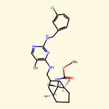 CC(C)(C)OC(=O)N[C@@H]1[C@@H]2CCC[C@H]1CC(CNc1nc(NCc3cccc(Cl)c3)ncc1C#N)C2